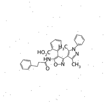 Cc1nn(-c2ccccc2)c(C)c1-c1noc(NC(=O)CCc2ccccc2)c1-c1ccccc1C(=O)O